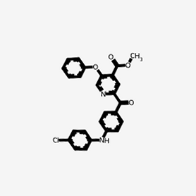 COC(=O)c1cc(C(=O)c2ccc(Nc3ccc(Cl)cc3)cc2)ncc1Oc1ccccc1